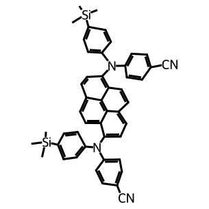 C[Si](C)(C)c1ccc(N(c2ccc(C#N)cc2)c2ccc3ccc4c(N(c5ccc(C#N)cc5)c5ccc([Si](C)(C)C)cc5)ccc5ccc2c3c54)cc1